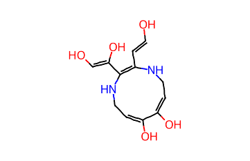 O/C=C(O)/C1=C(\C=C\O)NC/C=C(O)\C(O)=C/CN1